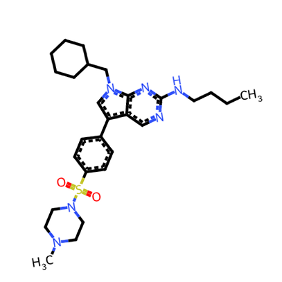 CCCCNc1ncc2c(-c3ccc(S(=O)(=O)N4CCN(C)CC4)cc3)cn(CC3CCCCC3)c2n1